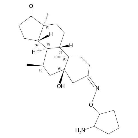 C[C@@H]1C[C@@]2(O)CC(=NOC3CCCC3N)CC[C@]2(C)[C@H]2CC[C@]3(C)C(=O)CC[C@H]3[C@H]12